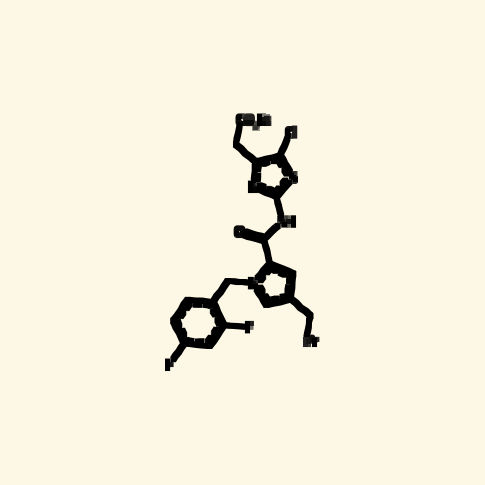 CCOC(=O)Cc1nc(NC(=O)c2cc(CC(C)C)cn2Cc2ccc(F)cc2F)sc1Cl